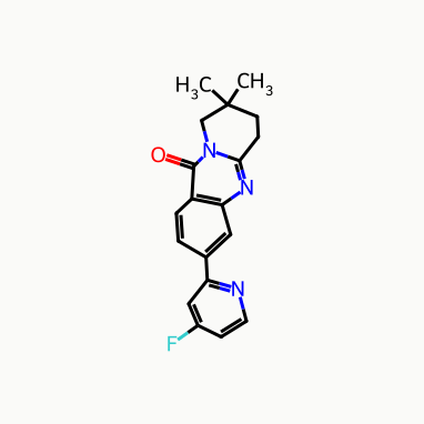 CC1(C)CCc2nc3cc(-c4cc(F)ccn4)ccc3c(=O)n2C1